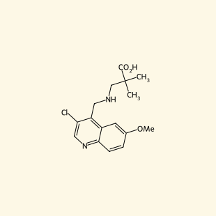 COc1ccc2ncc(Cl)c(CNCC(C)(C)C(=O)O)c2c1